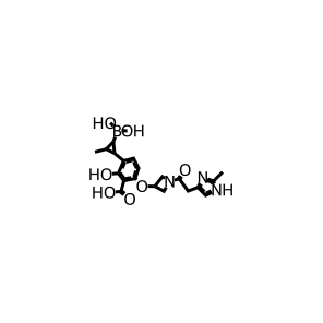 Cc1nc(CC(=O)N2CC(Oc3ccc(C4C(C)C4B(O)O)c(O)c3C(=O)O)C2)c[nH]1